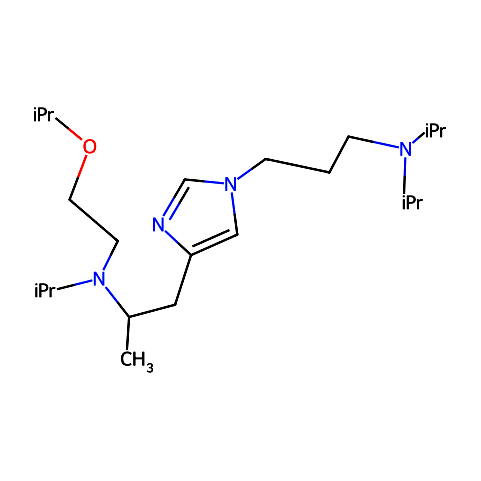 CC(C)OCCN(C(C)C)C(C)Cc1cn(CCCN(C(C)C)C(C)C)cn1